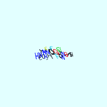 CC(CNC(=O)O)CNC(=S)Nc1cc(F)c(Oc2ccnc3c2c(Cl)cn3COCC[Si](C)(C)C)c(F)c1